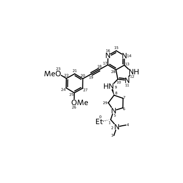 CC[C@@H](N(C)C)N1CC[C@H](Nc2n[nH]c3ncnc(C#Cc4cc(OC)cc(OC)c4)c23)C1